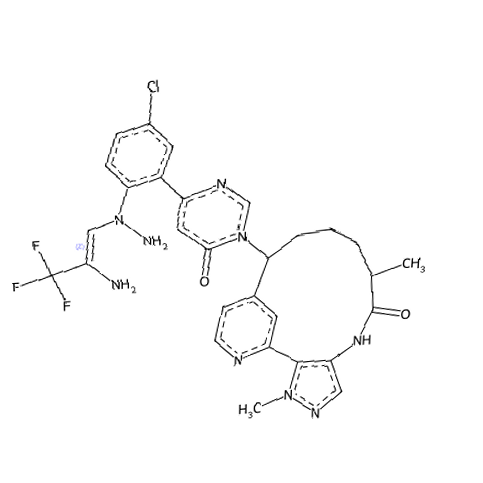 CC1CCCC(n2cnc(-c3cc(Cl)ccc3N(N)/C=C(\N)C(F)(F)F)cc2=O)c2ccnc(c2)-c2c(cnn2C)NC1=O